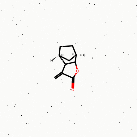 C=C1C(=O)OC2C1[C@H]1CC[C@@H]2C1